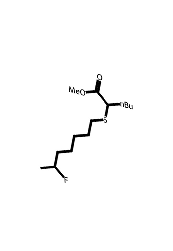 CCCCC(SCCCCCC(C)F)C(=O)OC